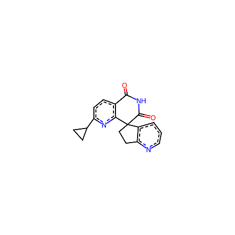 O=C1NC(=O)C2(CCc3ncccc32)c2nc(C3CC3)ccc21